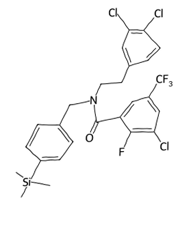 C[Si](C)(C)c1ccc(CN(CCc2ccc(Cl)c(Cl)c2)C(=O)c2cc(C(F)(F)F)cc(Cl)c2F)cc1